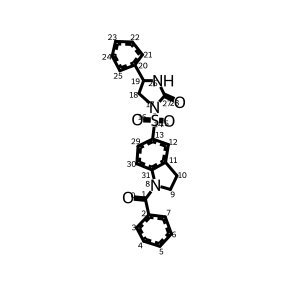 O=C(c1ccccc1)N1CCc2cc(S(=O)(=O)N3CC(c4ccccc4)NC3=O)ccc21